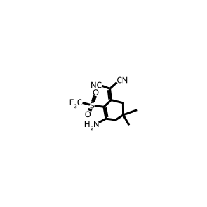 CC1(C)CC(N)=C(S(=O)(=O)C(F)(F)F)C(=C(C#N)C#N)C1